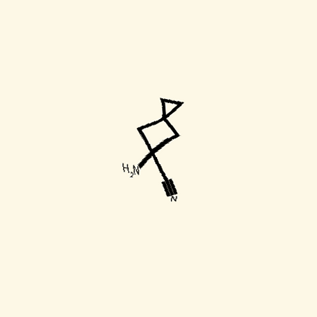 N#CC1(N)CC2(CC2)C1